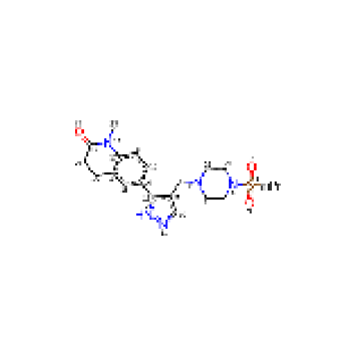 CC(C)S(=O)(=O)N1CCN(Cc2cn[nH]c2-c2ccc3c(c2)CCC(=O)N3C)CC1